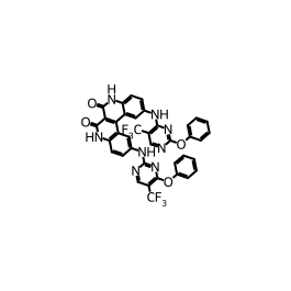 O=c1[nH]c2ccc(Nc3ncc(C(F)(F)F)c(Oc4ccccc4)n3)cc2c2c1c(=O)[nH]c1ccc(Nc3nc(Oc4ccccc4)ncc3C(F)(F)F)cc12